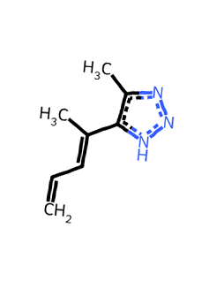 C=C/C=C(\C)c1[nH]nnc1C